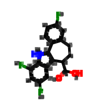 O=C(O)C1CCc2cc(F)ccc2-c2[nH]c3c(F)cc(F)cc3c21